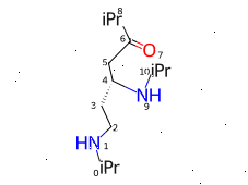 CC(C)NCC[C@H](CC(=O)C(C)C)NC(C)C